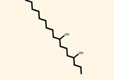 CCCCCCCCCC(O)CCCC(O)CCC